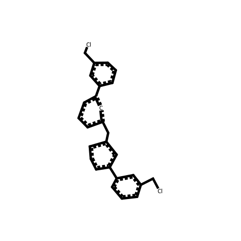 ClCc1cccc(-c2cccc(Cc3cccc(-c4cccc(CCl)c4)c3)c2)c1